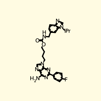 CC(C)n1cnc2ccc(CNC(=O)OCCCCn3cnc4c(N)nc(-c5ccc(F)cc5)nc43)cc21